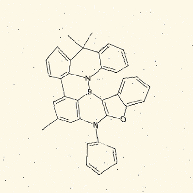 Cc1cc2c3c(c1)N(c1ccccc1)c1oc4ccccc4c1B3N1c3ccccc3C(C)(C)c3cccc-2c31